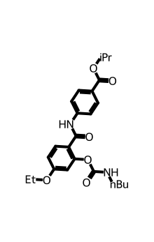 CCCCNC(=O)Oc1cc(OCC)ccc1C(=O)Nc1ccc(C(=O)OC(C)C)cc1